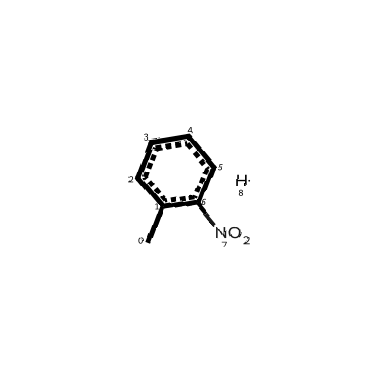 Cc1ccccc1[N+](=O)[O-].[H]